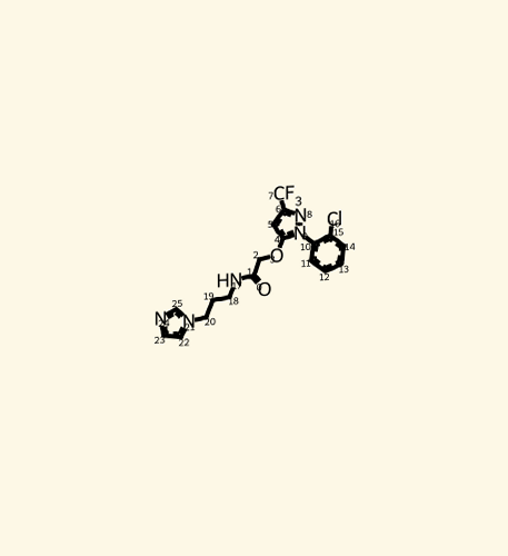 O=C(COc1cc(C(F)(F)F)nn1-c1ccccc1Cl)NCCCn1ccnc1